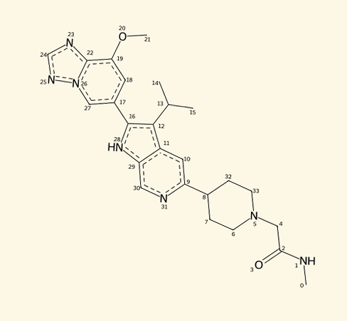 CNC(=O)CN1CCC(c2cc3c(C(C)C)c(-c4cc(OC)c5ncnn5c4)[nH]c3cn2)CC1